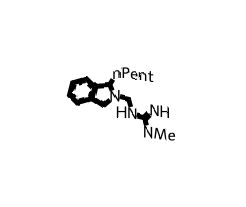 CCCCCC1c2ccccc2CN1CNC(=N)NC